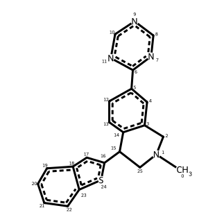 CN1Cc2cc(-c3ncncn3)ccc2C(c2cc3ccccc3s2)C1